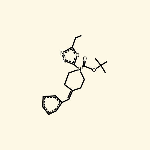 CCc1nnc([N+]2(C(=O)OC(C)(C)C)CCC(=Cc3ccccc3)CC2)o1